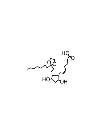 CCCCCCCC1(CC[C@@H]2[C@@H](C/C=C\CCCC(=O)O)[C@@H](O)C[C@H]2O)OCCO1